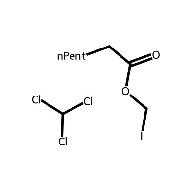 CCCCCCC(=O)OCI.ClC(Cl)Cl